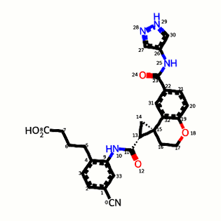 N#Cc1ccc(CCCC(=O)O)c(NC(=O)[C@@H]2C[C@]23CCOc2ccc(C(=O)Nc4cn[nH]c4)cc23)c1